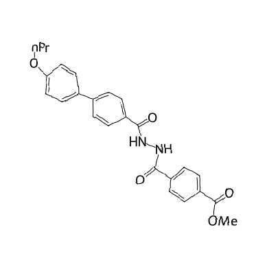 CCCOc1ccc(-c2ccc(C(=O)NNC(=O)c3ccc(C(=O)OC)cc3)cc2)cc1